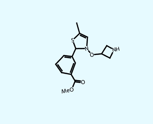 COC(=O)c1cccc(C2SC(C)=CN2OC2CNC2)c1